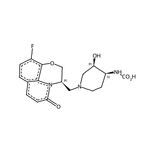 O=C(O)N[C@H]1CCN(C[C@@H]2COc3c(F)ccc4ccc(=O)n2c34)C[C@H]1O